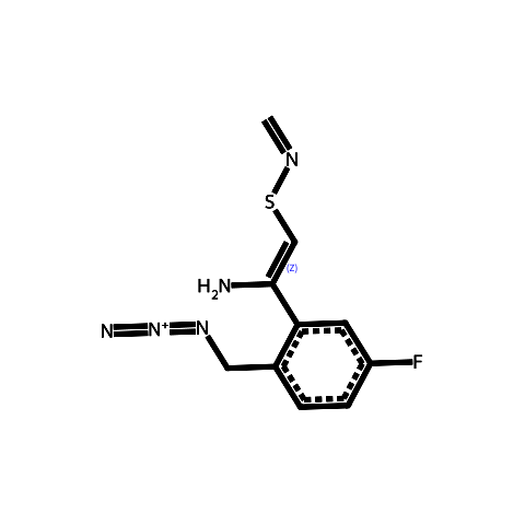 C=NS/C=C(\N)c1cc(F)ccc1CN=[N+]=[N-]